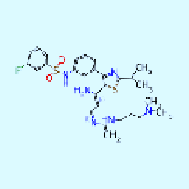 C=C(/N=C\C=C(/N)c1sc(C(C)C)nc1-c1cccc(NS(=O)(=O)c2cccc(F)c2)c1)NCCCN(C)C